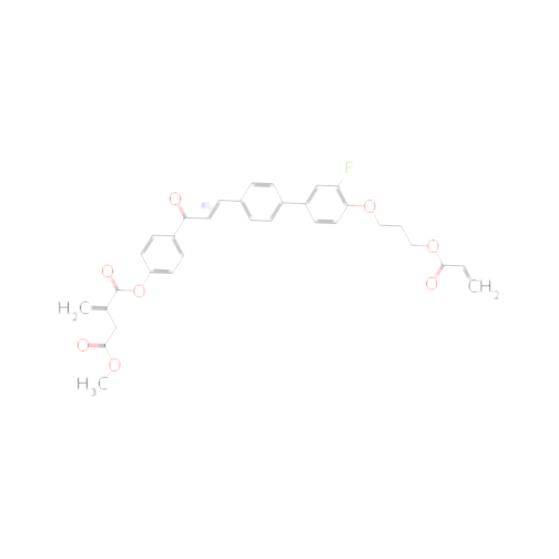 C=CC(=O)OCCCOc1ccc(-c2ccc(/C=C/C(=O)c3ccc(OC(=O)C(=C)CC(=O)OC)cc3)cc2)cc1F